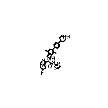 Cc1cc(-c2ccc(C3CCNCC3)cc2)c(C)c2nn(C(C(=O)Nc3nccs3)c3ncn4c3CC(F)C4)cc12